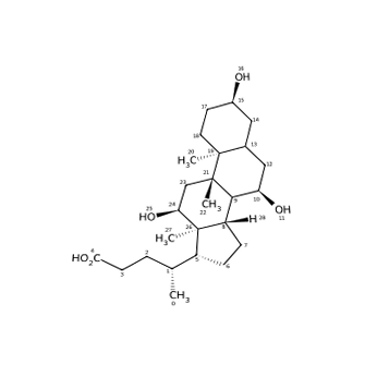 C[C@H](CCC(=O)O)[C@H]1CC[C@H]2C3[C@H](O)CC4C[C@H](O)CC[C@]4(C)[C@@]3(C)C[C@H](O)[C@]12C